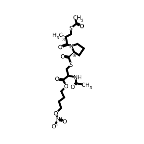 CC(=O)NC(CSC(=O)[C@@H]1CCCN1C(=O)[C@H](C)CSC(C)=O)C(=O)OCCCCO[N+](=O)[O-]